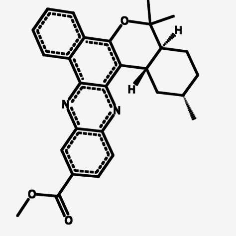 COC(=O)c1ccc2nc3c4c(c5ccccc5c3nc2c1)OC(C)(C)[C@H]1CC[C@H](C)C[C@H]41